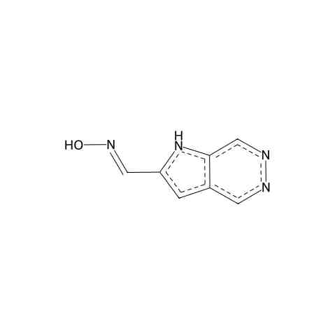 ON=Cc1cc2cnncc2[nH]1